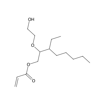 C=CC(=O)OCC(OCCO)C(CC)CCCCC